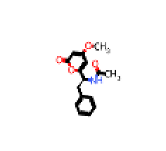 COc1cc([C@H](Cc2ccccc2)NC(C)=O)oc(=O)c1